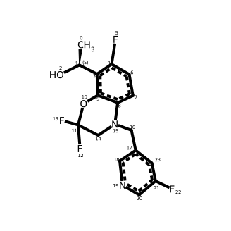 C[C@H](O)c1c(F)ccc2c1OC(F)(F)CN2Cc1cncc(F)c1